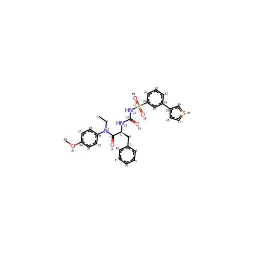 CCN(C(=O)[C@H](Cc1ccccc1)NC(=O)NS(=O)(=O)c1cccc(-c2ccsc2)c1)c1ccc(OC)cc1